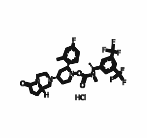 Cc1cc(F)ccc1[C@H]1C[C@@H](N2CCN3C(=O)CC[C@H]3C2)CCN1OC(=O)N(C)[C@H](C)c1cc(C(F)(F)F)cc(C(F)(F)F)c1.Cl